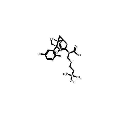 C[Si](C)(C)CCOCN(C(=O)O)C1=N[C@](CF)(c2cc(Br)ccc2F)[C@@H]2C[C@]2(C=NO)S1